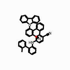 Cc1ccccc1-c1ccccc1Nc1ccc(C#N)c(-c2ccccc2-c2c(C#N)cccc2-n2c3ccccc3c3ccccc32)c1